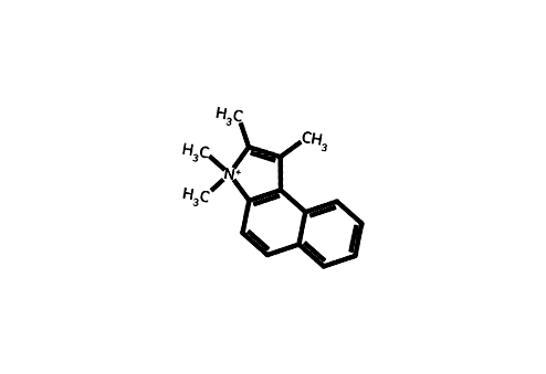 CC1=C(C)[N+](C)(C)c2ccc3ccccc3c21